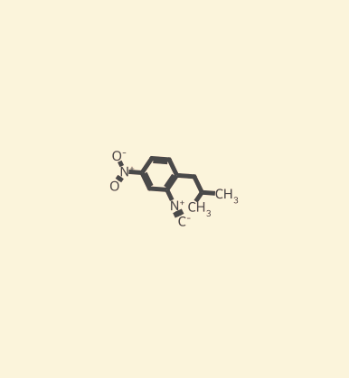 [C-]#[N+]c1cc([N+](=O)[O-])ccc1CC(C)C